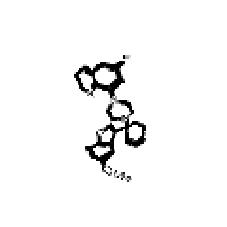 COc1ccc2occ(C3(N4CCN(c5cc(F)cc6cccnc56)CC4)CCCCC3)c2c1